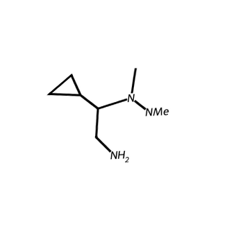 CNN(C)C(CN)C1CC1